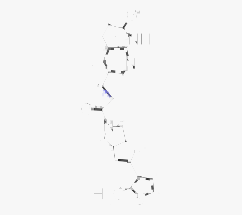 Cc1sccc1C1=CC2CN(C(=O)/C=C/c3cnc4c(c3)CCC(=O)N4)CC2C1